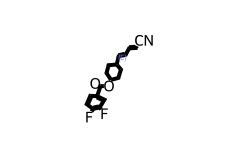 N#CC=C/C=C/C1CCC(OC(=O)c2ccc(F)c(F)c2)CC1